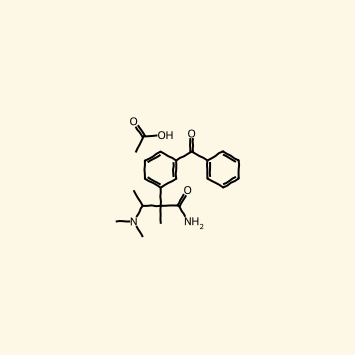 CC(=O)O.CC(N(C)C)C(C)(C(N)=O)c1cccc(C(=O)c2ccccc2)c1